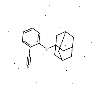 N#Cc1ccccc1OC12CC3CC(CC(C3)C1)C2